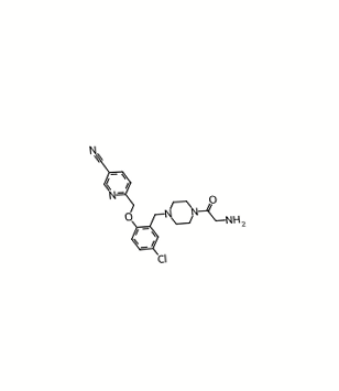 N#Cc1ccc(COc2ccc(Cl)cc2CN2CCN(C(=O)CN)CC2)nc1